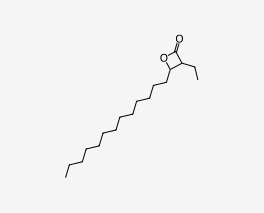 CCCCCCCCCCCCCC1OC(=O)C1CC